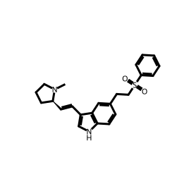 CN1CCC[C@@H]1C=Cc1c[nH]c2ccc(CCS(=O)(=O)c3ccccc3)cc12